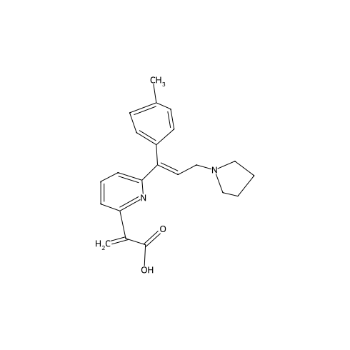 C=C(C(=O)O)c1cccc(C(=CCN2CCCC2)c2ccc(C)cc2)n1